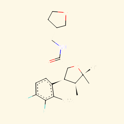 COc1c([C@H]2[C@H](C(=O)NC[C@@H]3CCOC3)O[C@@](C)(C(F)(F)F)[C@H]2C)ccc(F)c1F